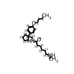 CCCCOc1ccc(C2(CNC(=O)CCCCCNC)CCCC2)cc1